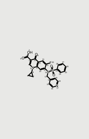 O=C(O)c1cn(C2CC2)c2cc(N(Cc3ccncc3)S(=O)(=O)c3ccccc3)c(F)cc2c1=O